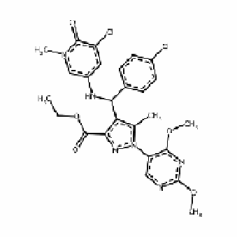 CCOC(=O)c1nn(-c2cnc(OC)nc2OC)c(C)c1C(Nc1cc(Cl)c(=O)n(C)c1)c1ccc(Cl)cc1